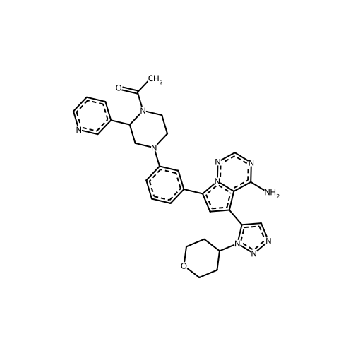 CC(=O)N1CCN(c2cccc(-c3cc(-c4cnnn4C4CCOCC4)c4c(N)ncnn34)c2)CC1c1cccnc1